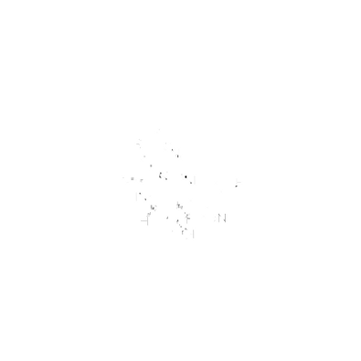 O=C1N[C@@H]2C[C@H](C(c3cncc(F)c3)Nc3nc1c1sccc1n3)[C@@H](O)C2